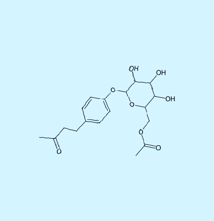 CC(=O)CCc1ccc(OC2OC(COC(C)=O)C(O)C(O)C2O)cc1